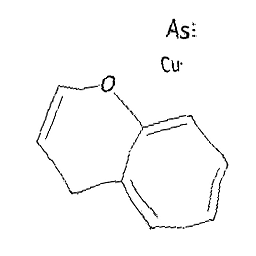 C1=COc2ccccc2C1.[As].[Cu]